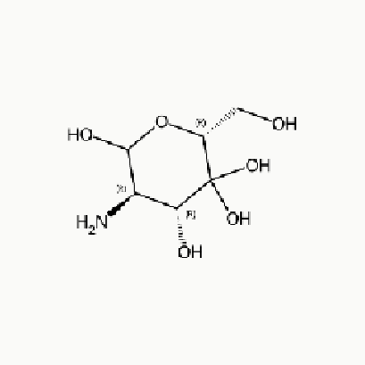 N[C@H]1C(O)O[C@H](CO)C(O)(O)[C@@H]1O